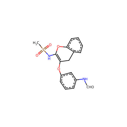 CS(=O)(=O)NC1=C(Oc2cccc(NC=O)c2)Cc2ccccc2O1